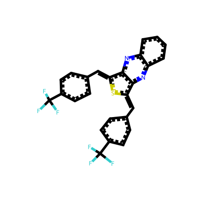 FC(F)(F)c1ccc(C=c2sc(=Cc3ccc(C(F)(F)F)cc3)c3nc4ccccc4nc23)cc1